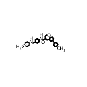 Cc1ccc(-c2ccc3c(c2)C=C(C(=O)Nc2ccc(CNC4CCN(C)CC4)cc2)CCO3)cc1